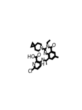 CCn1c(N2CCC3(CC2)CC3)nc2c([C@@H](C)Nc3ccc(Cl)nc3C(=O)O)cc(C)cc2c1=O